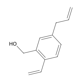 C=CCc1ccc(C=C)c(CO)c1